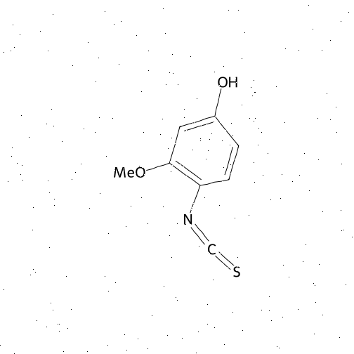 COc1cc(O)ccc1N=C=S